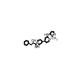 Cn1nccc1Nc1cc(-c2ccn3c([C@H](O)Cc4ccccc4)nnc3c2)ccn1